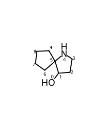 OC1CCNC12CCCC2